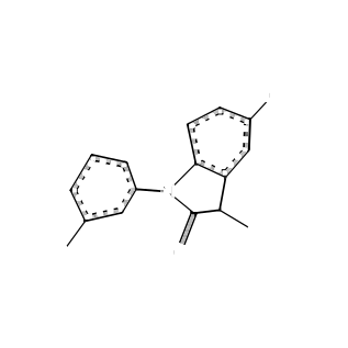 Cc1cccc(N2C(=O)C(C)c3cc(Cl)ccc32)c1